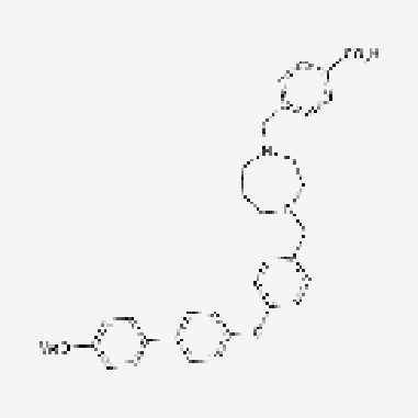 COc1ccc(-c2ccc(Oc3ccc(CN4CCCN(Cc5ccc(C(=O)O)cc5)CC4)cc3)cc2)cc1